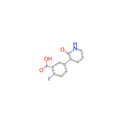 O=C(O)c1cc(-c2ccc[nH]c2=O)ccc1I